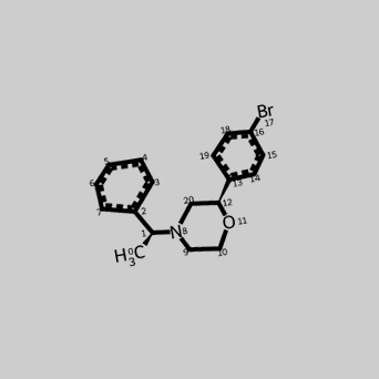 C[C@@H](c1ccccc1)N1CCO[C@H](c2ccc(Br)cc2)C1